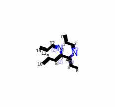 C=C\C=N/C(=C\C)C(=C/C=C)/N=C\C=C